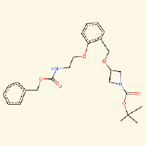 CC(C)(C)OC(=O)N1CC(OCc2ccccc2OCCNC(=O)OCc2ccccc2)C1